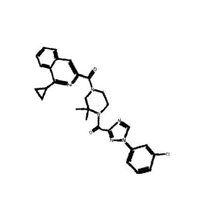 CC1(C)CN(C(=O)c2cc3ccccc3c(C3CC3)n2)CCN1C(=O)c1ncn(-c2cccc(Cl)c2)n1